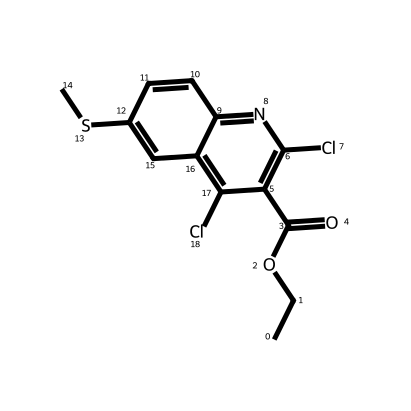 CCOC(=O)c1c(Cl)nc2ccc(SC)cc2c1Cl